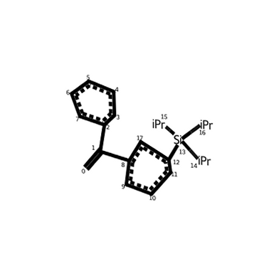 C=C(c1ccccc1)c1cccc([Si](C(C)C)(C(C)C)C(C)C)c1